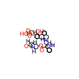 CN1CCc2cccc3c2[C@H]1Cc1ccc(O)c(O)c1-3.CS(=O)(=O)O.O=C(O[C@@H]1C[C@@H]2C[C@@H]3C[C@H](C1)N2CC3=O)c1c[nH]c2ccccc12